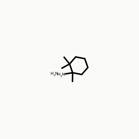 CC1(C)CCCCC1(C)N.N